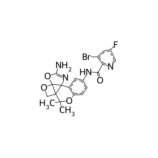 CC1(C)Oc2ccc(NC(=O)c3ncc(F)cc3Br)cc2C23N=C(N)OC24OCC143